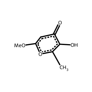 COc1cc(=O)c(O)c(C)o1